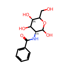 O=C(N[C@@H]1C(O)OC(CO)[C@H](O)C1O)c1ccccc1